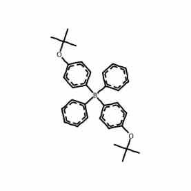 CC(C)(C)Oc1ccc([B-](c2ccccc2)(c2ccccc2)c2ccc(OC(C)(C)C)cc2)cc1